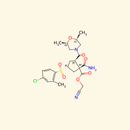 Cc1cc(Cl)ccc1S(=O)(=O)[C@@H]1C[C@@H](C(=O)N2C[C@@H](C)O[C@@H](C)C2)[C@](C(N)=O)(C(=O)OCC#N)C1